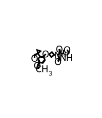 COc1ccc(OC2CC(N3C(=O)N[C@@]4(CCOC4)C3=O)C2)c2c1OCC21CC1